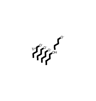 CCCCO.CCCC[O-].CCCC[O-].CCCC[O-].CCCC[O-].[Ti+4]